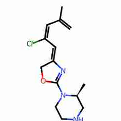 C=C(C)/C=C(Cl)\C=C1/COC(N2CCNC[C@@H]2C)=N1